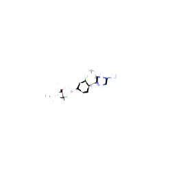 CC1(C)OB(c2ccc(-c3ncc(N)nc3C#N)c(F)c2)OC1(C)C